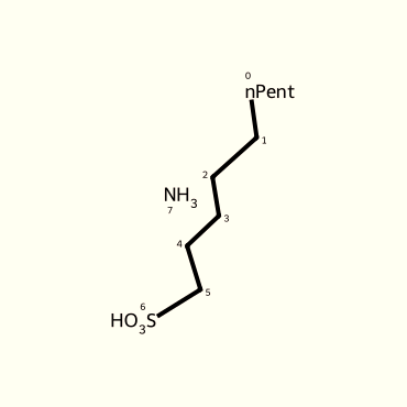 CCCCCCCCCCS(=O)(=O)O.N